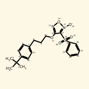 CC(C)(C)c1ccc(CCCOc2no[n+]([O-])c2S(=O)(=O)c2ccccc2)cc1